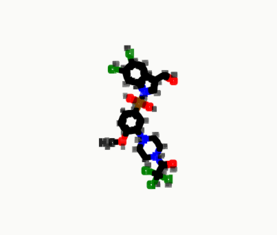 COc1ccc(S(=O)(=O)n2cc(C=O)c3cc(Cl)c(Cl)cc32)cc1N1CCN(C(=O)C(Cl)(Cl)Cl)CC1